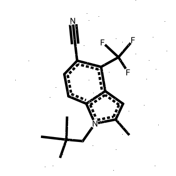 Cc1cc2c(C(F)(F)F)c(C#N)ccc2n1CC(C)(C)C